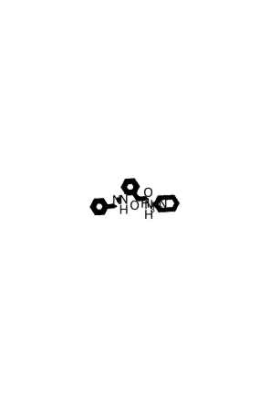 CN1C2CCCC1CC(NC(=O)C(=O)c1ccccc1N/N=C/c1ccccc1)C2